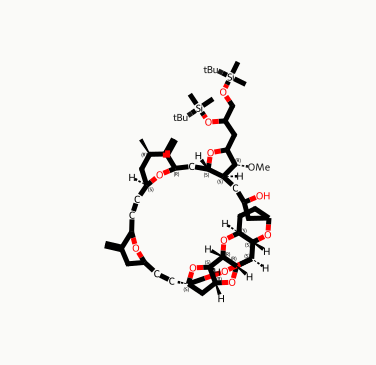 C=C1CC2CC[C@@]34C[C@H]5O[C@H]6[C@@H](O3)[C@H]3OC(CC[C@@H]3O[C@H]6[C@H]5O4)CC(O)C[C@H]3[C@H](C[C@H]4O[C@@H](CCC1O2)C[C@@H](C)C4=C)OC(CC(CO[Si](C)(C)C(C)(C)C)O[Si](C)(C)C(C)(C)C)[C@@H]3OC